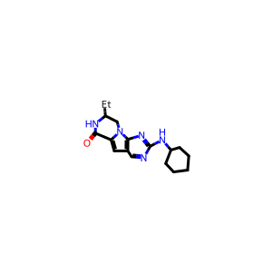 CCC1Cn2c(cc3cnc(NC4CCCCC4)nc32)C(=O)N1